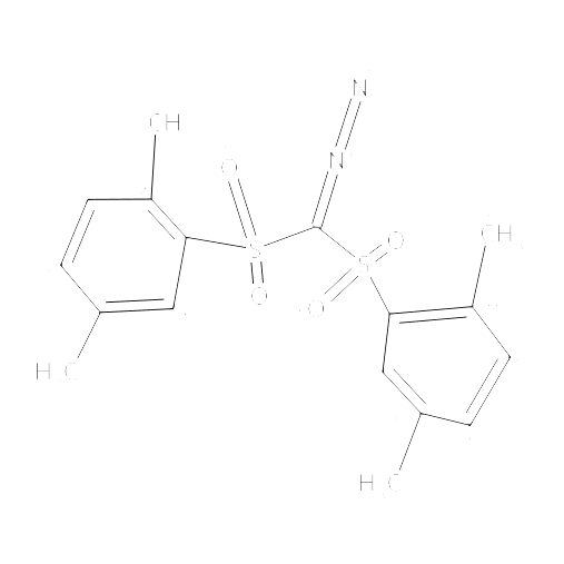 Cc1ccc(C)c(S(=O)(=O)C(=[N+]=[N-])S(=O)(=O)c2cc(C)ccc2C)c1